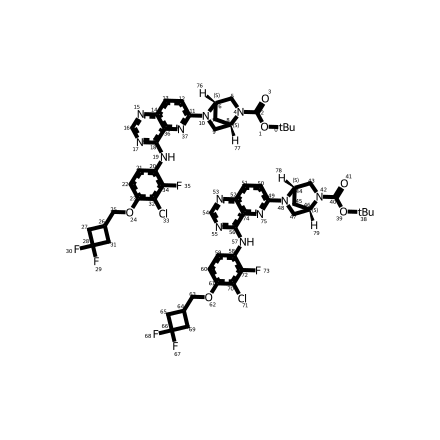 CC(C)(C)OC(=O)N1C[C@@H]2C[C@H]1CN2c1ccc2ncnc(Nc3ccc(OCC4CC(F)(F)C4)c(Cl)c3F)c2n1.CC(C)(C)OC(=O)N1C[C@@H]2C[C@H]1CN2c1ccc2ncnc(Nc3ccc(OCC4CC(F)(F)C4)c(Cl)c3F)c2n1